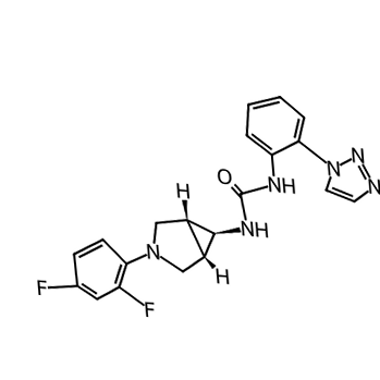 O=C(Nc1ccccc1-n1ccnn1)N[C@H]1[C@@H]2CN(c3ccc(F)cc3F)C[C@@H]21